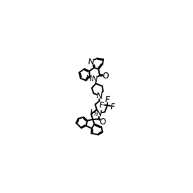 O=C(NC1CCN(CCCCC2(C(=O)NCC(F)(F)F)c3ccccc3-c3ccccc32)CC1)c1cccnc1-c1ccccc1